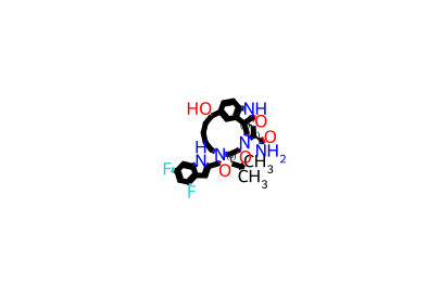 CC(C)C[C@H]1C(=O)N2C[C@]3(C[C@H]2C(N)=O)C(=O)Nc2ccc(cc23)C(O)CCCCN1C(=O)c1cc2c(F)cc(F)cc2[nH]1